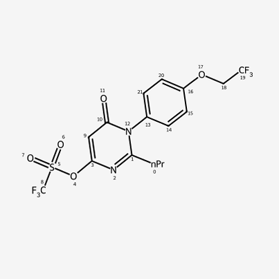 CCCc1nc(OS(=O)(=O)C(F)(F)F)cc(=O)n1-c1ccc(OCC(F)(F)F)cc1